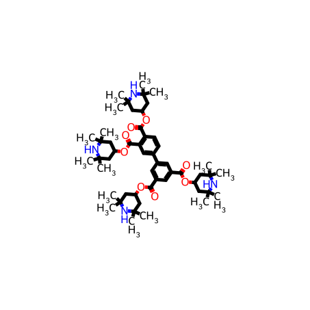 CC1(C)CC(OC(=O)c2cc(C(=O)OC3CC(C)(C)NC(C)(C)C3)cc(-c3ccc(C(=O)OC4CC(C)(C)NC(C)(C)C4)c(C(=O)OC4CC(C)(C)NC(C)(C)C4)c3)c2)CC(C)(C)N1